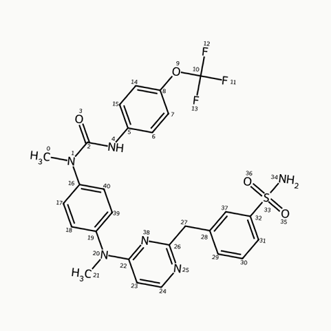 CN(C(=O)Nc1ccc(OC(F)(F)F)cc1)c1ccc(N(C)c2ccnc(Cc3cccc(S(N)(=O)=O)c3)n2)cc1